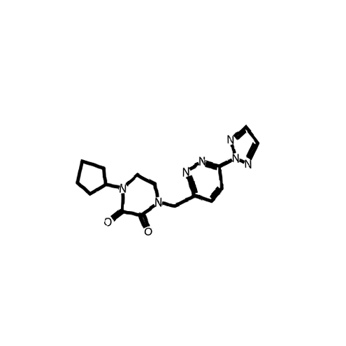 O=C1C(=O)N(C2CCCC2)CCN1Cc1ccc(-n2nccn2)nn1